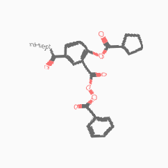 CCCCCCCC(=O)c1ccc(OC(=O)C2CCCC2)c(C(=O)OOC(=O)c2ccccc2)c1